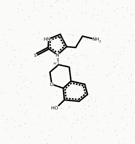 NCCc1c[nH]c(=S)n1[C@H]1COc2c(O)cccc2C1